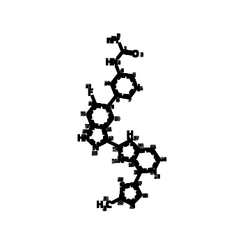 CCCC(=O)Nc1cncc(-c2cc3c(-c4nc5c(-c6ccc(C)s6)nccc5[nH]4)n[nH]c3cc2F)c1